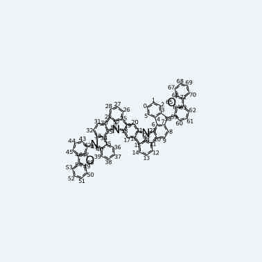 c1ccc2c(c1)-c1c(ccc3c4cccc5c6cc7c(cc6n(c13)c54)c1cccc3c4ccc5c(c6ccccc6n5-c5cccc6c5oc5ccccc56)c4n7c13)C2c1cccc2c1oc1ccccc12